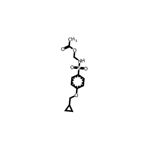 CC(=O)OCNS(=O)(=O)c1ccc(OCC2CC2)cc1